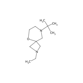 CCN1CC2(C1)CN(C(C)(C)C)CCO2